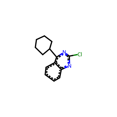 Clc1nc(C2CCCCC2)c2ccccc2n1